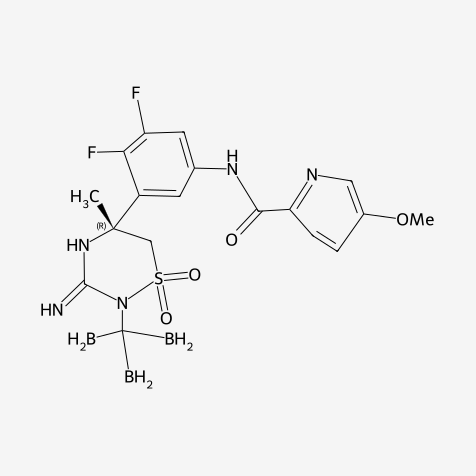 BC(B)(B)N1C(=N)N[C@](C)(c2cc(NC(=O)c3ccc(OC)cn3)cc(F)c2F)CS1(=O)=O